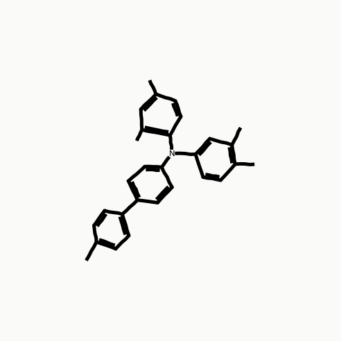 Cc1ccc(-c2ccc(N(c3ccc(C)c(C)c3)c3ccc(C)cc3C)cc2)cc1